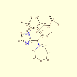 C=C(C)[C@@H]1CC=C(C(c2nccn2-c2c(C)cccc2C)N2CCCCCC2)CC1